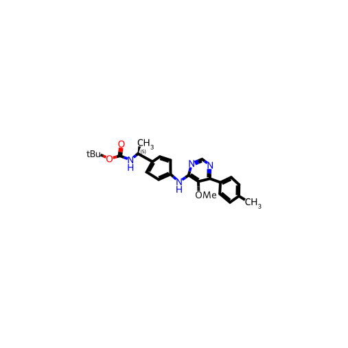 COc1c(Nc2ccc([C@H](C)NC(=O)OC(C)(C)C)cc2)ncnc1-c1ccc(C)cc1